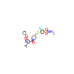 NS(=O)(=O)c1ccc(SCCC2CCN(C(=O)c3cc(OOC4CC=CCC4)nc(C4CC4)c3)CC2)c(F)c1